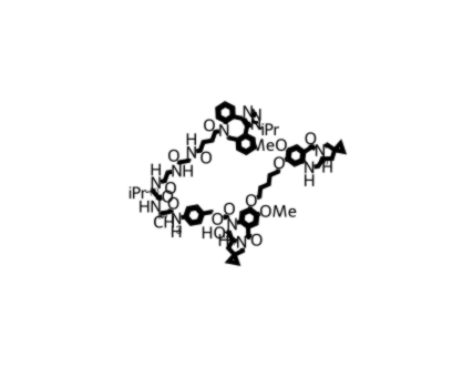 COc1cc2c(cc1OCCCCCOc1cc3c(cc1OC)C(=O)N1CC4(CC4)C[C@H]1[C@H](O)N3C(=O)OCc1ccc(NC(=O)[C@H](C)NC(=O)[C@@H](NC(=O)CNC(=O)CNC(=O)CCC(=O)N3Cc4ccccc4-c4c(nnn4C(C)C)-c4ccccc43)C(C)C)cc1)NC[C@@H]1CC3(CC3)CN1C2=O